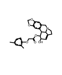 Cc1ccc(OCC(=O)OC2C(O)C=C3CCN4Cc5cc6c(cc5C2C34)OCO6)c(C)c1